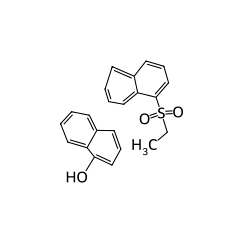 CCS(=O)(=O)c1cccc2ccccc12.Oc1cccc2ccccc12